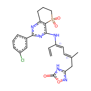 C=C/C(=C\C=C(/C)Cc1noc(=O)[nH]1)Nc1nc(-c2cccc(Cl)c2)nc2c1S(=O)(=O)CCC2